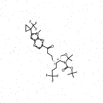 Cn1c(C2(C(F)(F)F)CC2)cc2ncc(C(=O)CCC[C@@H](CCC(F)(F)F)[C@@H]3COC(C)(C)N3C(=O)OC(C)(C)C)nc21